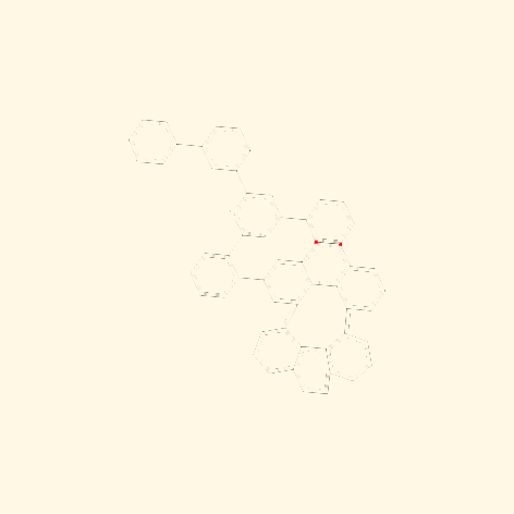 c1ccc(-c2nc(-c3cccc(-c4cccnc4)c3)nc(-c3ccccc3-c3cc4ccc5cccc6c7cccc8ccc9cccc(c(c3)c4c56)c9c87)n2)cc1